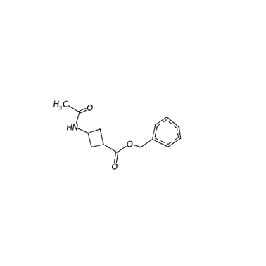 CC(=O)NC1CC(C(=O)OCc2ccccc2)C1